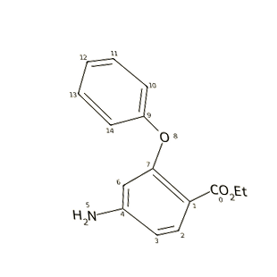 CCOC(=O)c1ccc(N)cc1Oc1ccccc1